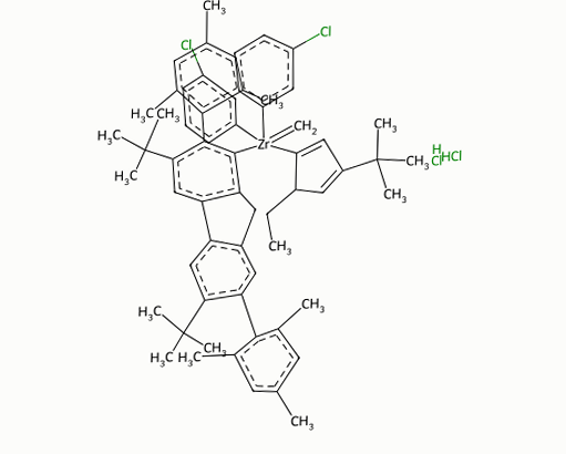 Cl.Cl.[CH2]=[Zr]([C]1=CC(C(C)(C)C)=CC1CC)([c]1cccc(Cl)c1)([c]1cccc(Cl)c1)[c]1c2c(cc(C(C)(C)C)c1-c1c(C)cc(C)cc1C)-c1cc(C(C)(C)C)c(-c3c(C)cc(C)cc3C)cc1C2